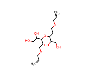 C=CCOCCC(OC(CCOCC=C)C(O)CO)C(O)CO